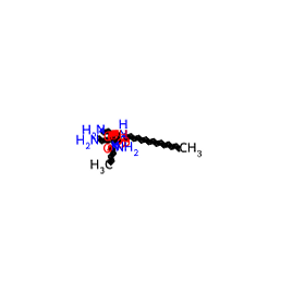 CCCCCCCCCCCCCCCC(=O)NC(CCCCN)C(=O)[C@](CCCCN)(C(=O)O)N(N)C(=O)CCCC